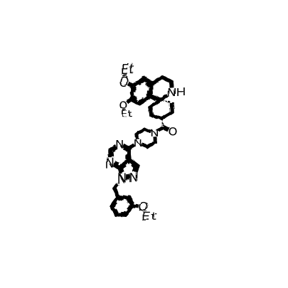 CCOc1cccc(Cn2ncc3c(N4CCN(C(=O)[C@H]5CC[C@@]6(CC5)NCCc5cc(OCC)c(OCC)cc56)CC4)ncnc32)c1